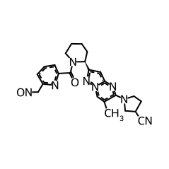 Cc1cn2nc([C@@H]3CCCCN3C(=O)c3cccc(CN=O)n3)cc2nc1N1CCC(C#N)C1